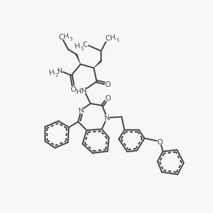 CCC[C@H](C(N)=O)[C@@H](CC(C)C)C(=O)NC1N=C(c2ccccc2)c2ccccc2N(Cc2cccc(Oc3ccccc3)c2)C1=O